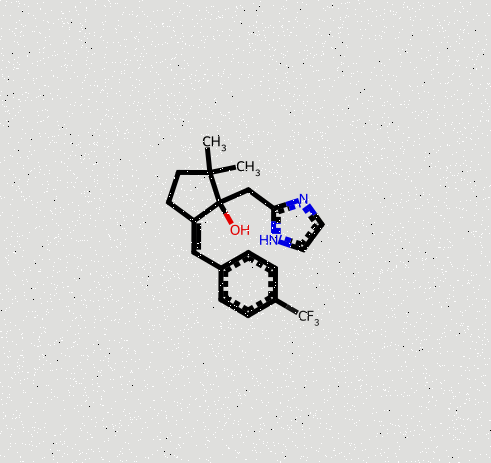 CC1(C)CCC(=Cc2ccc(C(F)(F)F)cc2)C1(O)Cc1ncc[nH]1